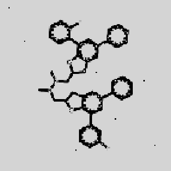 CN(CC1Cc2cc(-c3ccccc3)cc(-c3cccc(F)c3)c2O1)N(C)CC1Cc2cc(-c3ccccc3)cc(-c3ccccc3F)c2O1